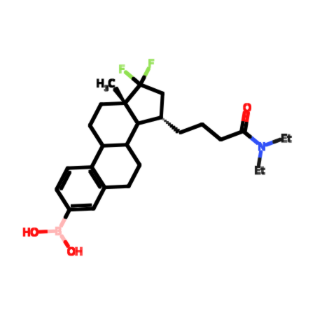 CCN(CC)C(=O)CCC[C@H]1CC(F)(F)[C@@]2(C)CCC3c4ccc(B(O)O)cc4CCC3C12